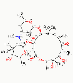 CC[C@H]1OC(=O)[C@H](C)[C@@H](O[C@H]2C[C@](C)(OC)[C@@H](O)C(C)O2)[C@H](C)[C@@H](O[C@@H]2OC(C)C[C@@H](N(C)C)C2O)[C@](C)(OC)C[C@@H](C)C(=O)[C@H](C)[C@@H](O)[C@]1(C)O